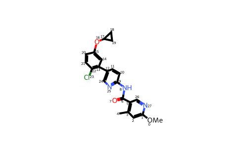 COc1cc(C)c(C(=O)Nc2ccc(-c3cc(OC4CC4)ccc3Cl)cn2)cn1